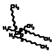 CCCCCCCCSC(CC)OP(OC(CC)SCCCCCCCC)OC(CC)SCCCCCCCC